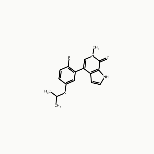 CC(C)Sc1ccc(F)c(-c2cn(C)c(=O)c3[nH]ccc23)c1